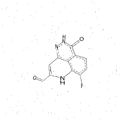 O=CC1=Cc2n[nH]c(=O)c3ccc(F)c(c23)N1